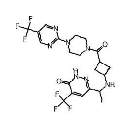 CC(NC1CC(C(=O)N2CCN(c3ncc(C(F)(F)F)cn3)CC2)C1)c1cc(C(F)(F)F)c(=O)[nH]n1